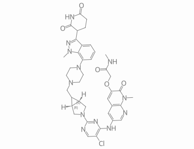 CNC(=O)COc1cc2cc(Nc3nc(N4C[C@@H]5C(CN6CCN(c7cccc8c(C9CCC(=O)NC9=O)nn(C)c78)CC6)[C@@H]5C4)ncc3Cl)cnc2n(C)c1=O